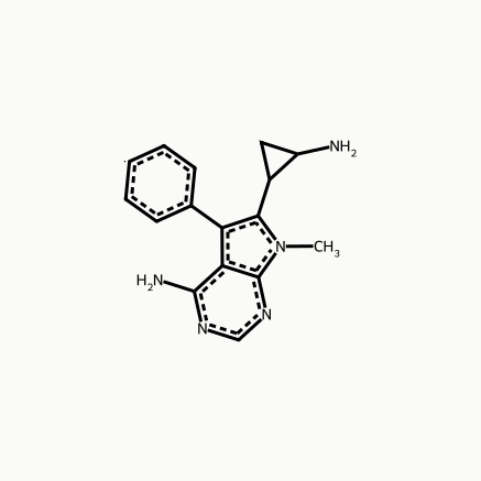 Cn1c(C2CC2N)c(-c2cc[c]cc2)c2c(N)ncnc21